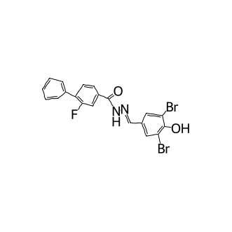 O=C(N/N=C/c1cc(Br)c(O)c(Br)c1)c1ccc(-c2ccccc2)c(F)c1